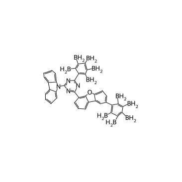 Bc1c(B)c(B)c(-c2ccc3oc4c(-c5nc(-c6c(B)c(B)c(B)c(B)c6B)nc(-n6c7ccccc7c7ccccc76)n5)cccc4c3c2)c(B)c1B